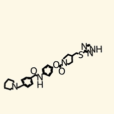 O=C(Nc1ccc(OC(=O)N2CCC(CSc3nc[nH]n3)CC2)cc1)c1ccc(CN2CCCCC2)cc1